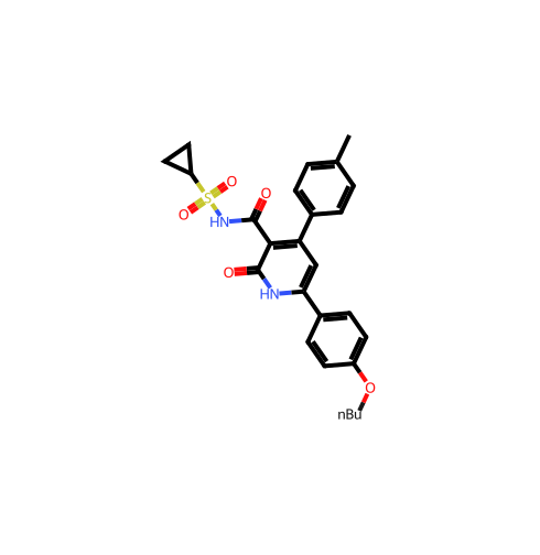 CCCCOc1ccc(-c2cc(-c3ccc(C)cc3)c(C(=O)NS(=O)(=O)C3CC3)c(=O)[nH]2)cc1